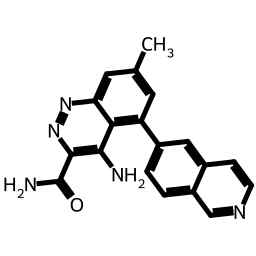 Cc1cc(-c2ccc3cnccc3c2)c2c(N)c(C(N)=O)nnc2c1